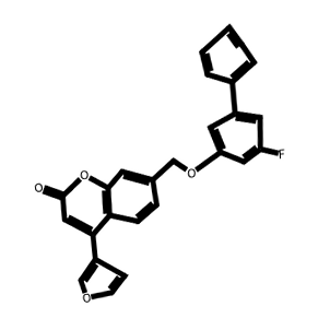 O=c1cc(-c2ccoc2)c2ccc(COc3cc(F)cc(-c4ccccc4)c3)cc2o1